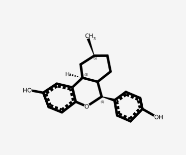 C[C@H]1CCC2[C@H](C1)c1cc(O)ccc1O[C@@H]2c1ccc(O)cc1